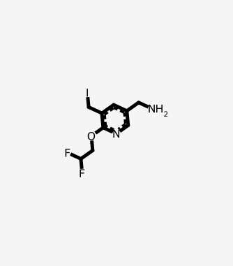 NCc1cnc(OCC(F)F)c(CI)c1